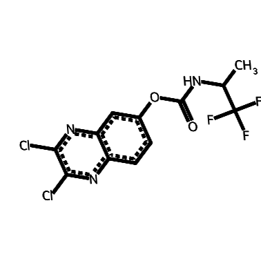 CC(NC(=O)Oc1ccc2nc(Cl)c(Cl)nc2c1)C(F)(F)F